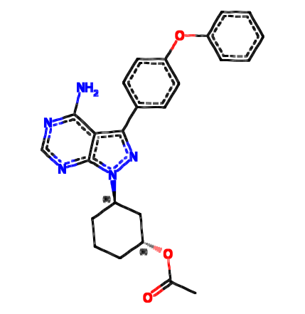 CC(=O)O[C@@H]1CCC[C@@H](n2nc(-c3ccc(Oc4ccccc4)cc3)c3c(N)ncnc32)C1